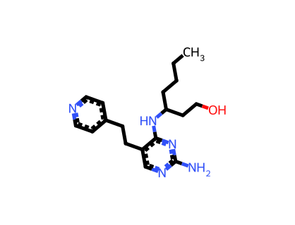 CCCCC(CCO)Nc1nc(N)ncc1CCc1ccncc1